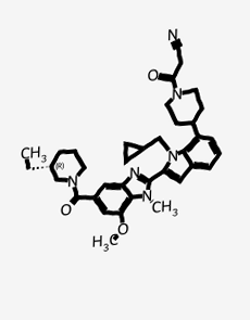 CC[C@@H]1CCCN(C(=O)c2cc(OC)c3c(c2)nc(-c2cc4cccc(C5CCN(C(=O)CC#N)CC5)c4n2CC2CC2)n3C)C1